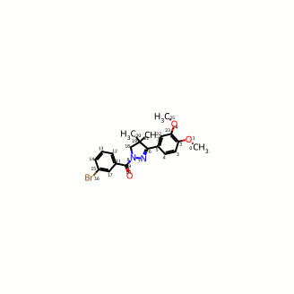 COc1ccc(C2=NN(C(=O)c3cccc(Br)c3)CC2(C)C)cc1OC